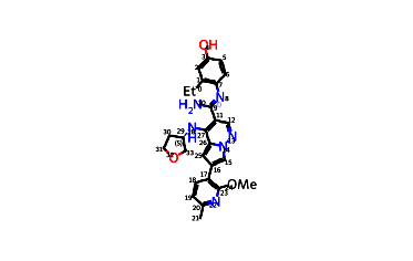 CCc1cc(O)ccc1/N=C(\N)c1cnn2cc(-c3ccc(C)nc3OC)cc2c1N[C@H]1CCOC1